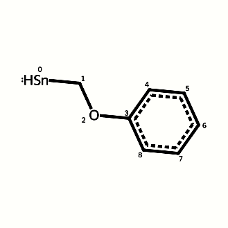 [SnH][CH2]Oc1ccccc1